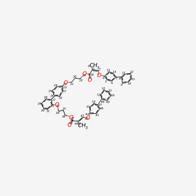 CC(=COc1ccc(-c2ccccc2)cc1)C(=O)OCCCOc1ccc(-c2ccccc2OCCCOC(=O)C(C)=COc2ccc(-c3ccccc3)cc2)cc1